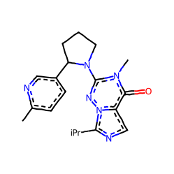 Cc1ccc(C2CCCN2c2nn3c(C(C)C)ncc3c(=O)n2C)cn1